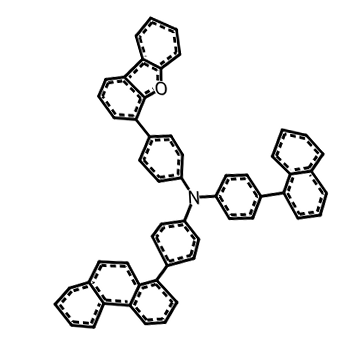 c1ccc2c(-c3ccc(N(c4ccc(-c5cccc6c5ccc5ccccc56)cc4)c4ccc(-c5cccc6c5oc5ccccc56)cc4)cc3)cccc2c1